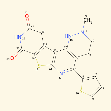 CN1CCc2c(-c3cccs3)nc3sc4c(c3c2N1)CC(=O)NC4=O